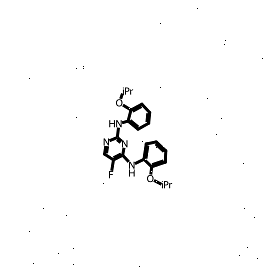 CC(C)Oc1ccccc1Nc1ncc(F)c(Nc2ccccc2OC(C)C)n1